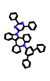 C1=CC2c3c(n(-c4cc(-c5ccccc5)nc(-c5ccccc5)n4)c4ccccc34)-c3ccccc3N(c3cc(-c4ccccc4)cc(-c4ccccc4)c3)C2C=C1